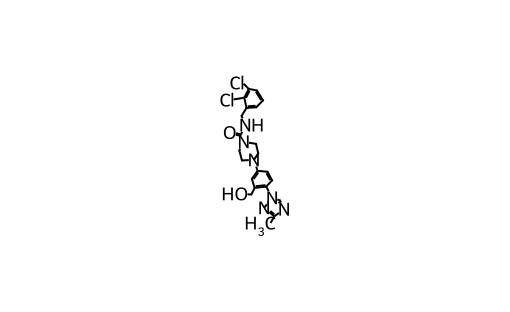 Cc1ncn(-c2ccc(N3CCN(C(=O)NCc4cccc(Cl)c4Cl)CC3)cc2CO)n1